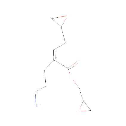 NCCCC(=CCC1CO1)C(=O)OCC1CO1